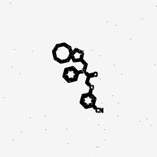 N#Cc1cccc(OCC(=O)N(CC2CC3(CCCCCCC3)CS2)c2ccccc2)c1